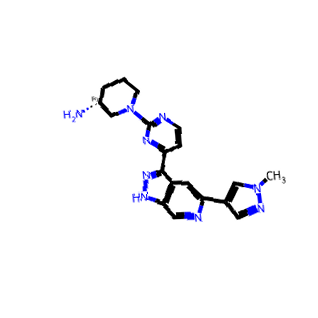 Cn1cc(-c2cc3c(-c4ccnc(N5CCC[C@@H](N)C5)n4)n[nH]c3cn2)cn1